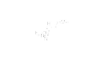 COC(=O)CC1[C@H]2CN(c3nc(N4CCCC[C@@H]4C)nc4c3CCCC4(F)F)C[C@@H]12